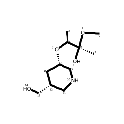 CO[C@@](C)(O)[C@H](C)O[C@@H]1CNC[C@H](CO)C1